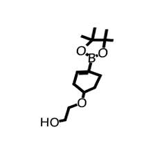 CC1(C)OB(C2=CCC(OCCO)CC2)OC1(C)C